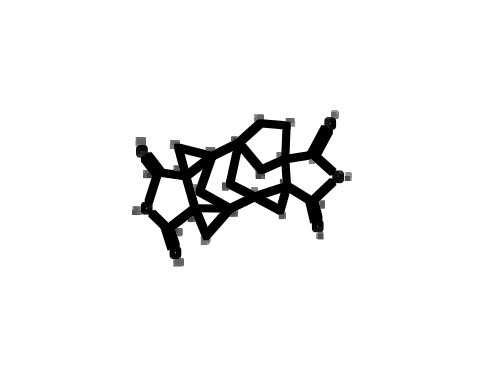 O=C1OC(=O)C23CC24CC2(CCC13C2)C12CC43CC34C(=O)OC(=O)C14C2